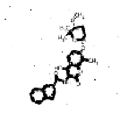 CO[C@@H]1CC[C@H](Oc2ccc3c(O)c(NC(=O)c4ccc5ccccc5c4)c(=O)oc3c2C)OC1(C)C